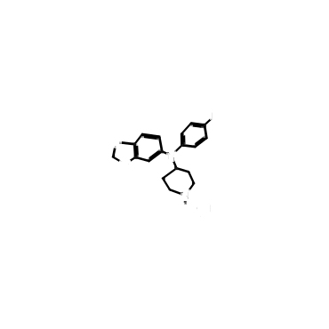 O=C(O)N1CCC(N(c2ccc(F)cc2)c2ccc3c(c2)OCO3)CC1